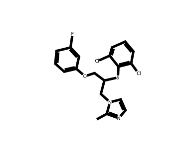 Cc1nccn1CC(COc1cccc(F)c1)Sc1c(Cl)cccc1Cl